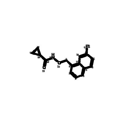 CCc1ccc2cccc(CONC(=O)C3CC3)c2c1